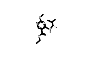 CCOC(=O)c1cnc(SC)nc1N[C@@H](C)C(C)C